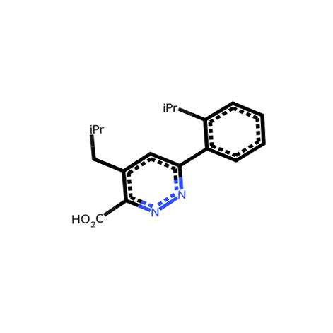 CC(C)Cc1cc(-c2ccccc2C(C)C)nnc1C(=O)O